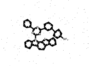 Nc1ccc(-c2cccc(-c3nc(-c4ccccc4)nc(-n4c5ccccc5c5ccc6c7ccccc7sc6c54)n3)c2)cc1